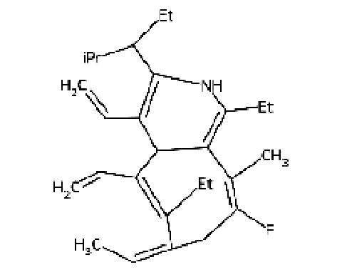 C=CC1=C(C(CC)C(C)C)NC(CC)=C2/C(C)=C(/F)CC(=C/C)/C(CC)=C(\C=C)C12